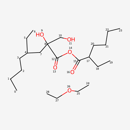 CCCCC(CC)CC(O)(CO)C(=O)OC(=O)C(CC)CCCC.CCOCC